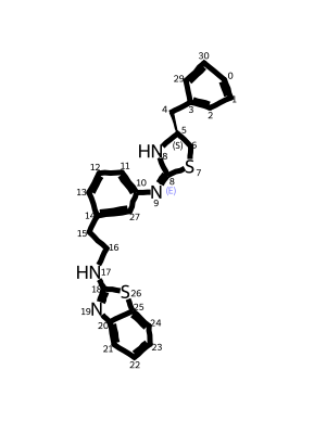 c1ccc(C[C@H]2CS/C(=N/c3cccc(CCNc4nc5ccccc5s4)c3)N2)cc1